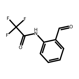 O=Cc1ccccc1NC(=O)C(F)(F)F